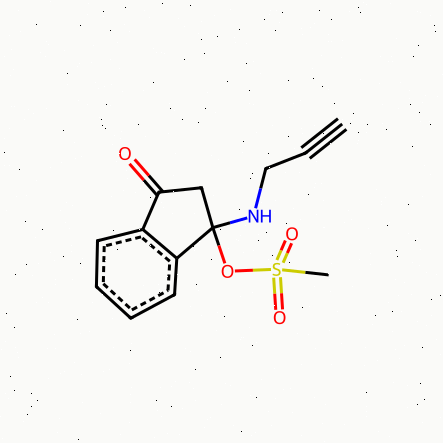 C#CCNC1(OS(C)(=O)=O)CC(=O)c2ccccc21